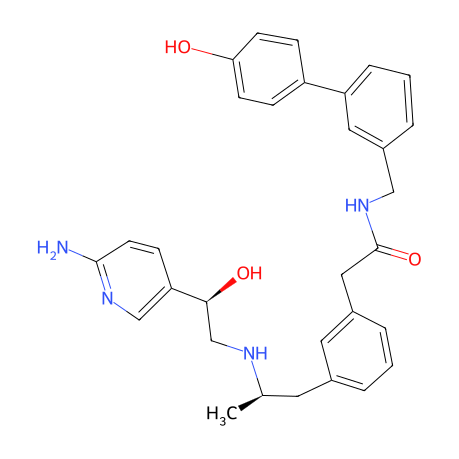 C[C@H](Cc1cccc(CC(=O)NCc2cccc(-c3ccc(O)cc3)c2)c1)NC[C@H](O)c1ccc(N)nc1